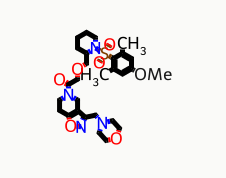 COc1cc(C)c(S(=O)(=O)N2CCCCC2COCC(=O)N2CCc3onc(CN4CCOCC4)c3C2)c(C)c1